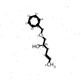 CC=CC[C@@H](O)COCc1ccccc1